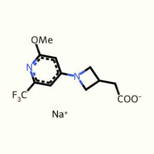 COc1cc(N2CC(CC(=O)[O-])C2)cc(C(F)(F)F)n1.[Na+]